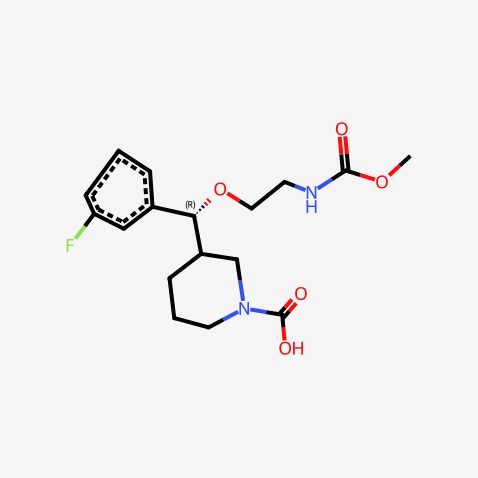 COC(=O)NCCO[C@@H](c1cccc(F)c1)C1CCCN(C(=O)O)C1